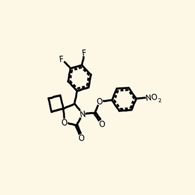 O=C(Oc1ccc([N+](=O)[O-])cc1)N1C(=O)OC2(CCC2)C1c1ccc(F)c(F)c1